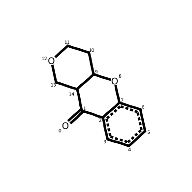 O=C1c2ccccc2OC2CCOCC12